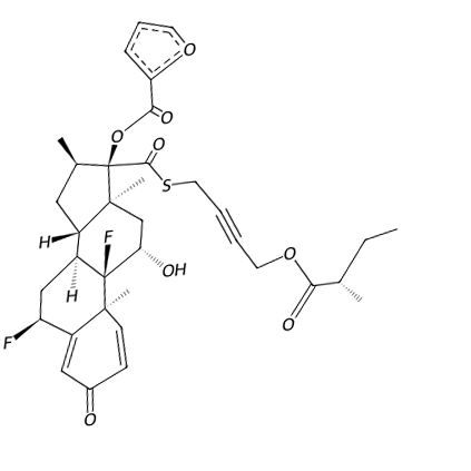 CC[C@H](C)C(=O)OCC#CCSC(=O)[C@@]1(OC(=O)c2ccco2)[C@H](C)C[C@H]2[C@@H]3C[C@H](F)C4=CC(=O)C=C[C@]4(C)[C@@]3(F)[C@@H](O)C[C@@]21C